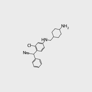 N#CC(c1ccccc1)c1ccc(NCC2CCC(N)CC2)cc1Cl